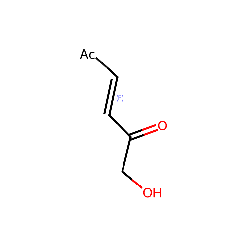 CC(=O)/C=C/C(=O)CO